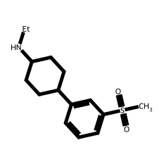 CCNC1CCC(c2cccc(S(C)(=O)=O)c2)CC1